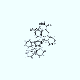 CCCCC(=O)C(Cc1c2ccocc-2c(Br)c1-c1ccccc1-c1nnn(C(c2ccccc2)(c2ccccc2)c2ccccc2)n1)C(=O)COC